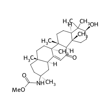 COC(=O)N[C@@]1(C)CC[C@]2(C)CC[C@]3(C)C(=CC(=O)[C@@H]4[C@@]5(C)CC[C@H](O)C(C)(C)[C@@H]5CC[C@]43C)[C@H]2C1